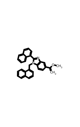 C=C(OC)c1ccc2c(c1)nc(-c1cccc3ccccc13)n2Cc1cccc2ccccc12